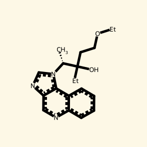 CCOCCC(O)(CC)[C@@H](C)n1cnc2cnc3ccccc3c21